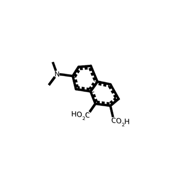 CN(C)c1ccc2ccc(C(=O)O)c(C(=O)O)c2c1